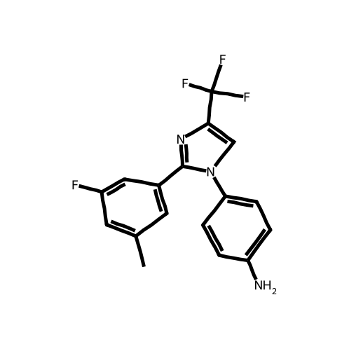 Cc1cc(F)cc(-c2nc(C(F)(F)F)cn2-c2ccc(N)cc2)c1